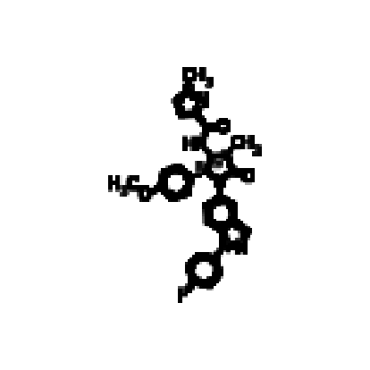 COc1ccc([C@@H]2[C@@H](NC(=O)c3ccn(C)n3)[C@H](C)C(=O)N2c2ccc3c(cnn3-c3ccc(F)cc3)c2)cc1